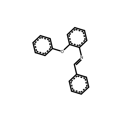 C(=Nc1ccccc1Oc1ccccc1)c1ccccc1